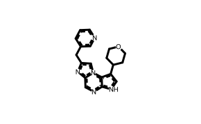 c1cncc(Cc2cn3c(cnc4[nH]cc(C5CCOCC5)c43)n2)c1